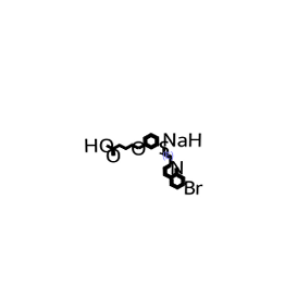 O=C(O)CCCOc1cccc(S/C=C/c2ccc3ccc(Br)cc3n2)c1.[NaH]